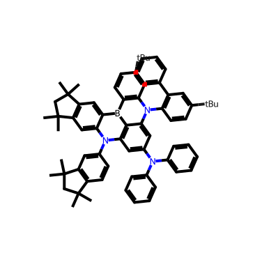 CC(C)(C)c1ccc(N2c3cc(C(C)(C)C)ccc3B3c4cc5c(cc4N(c4ccc6c(c4)C(C)(C)CC6(C)C)c4cc(N(c6ccccc6)c6ccccc6)cc2c43)C(C)(C)CC5(C)C)c(-c2ccccc2)c1